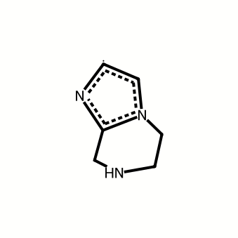 [c]1cn2c(n1)CNCC2